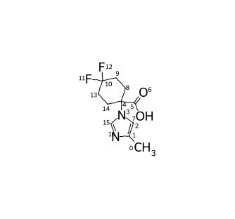 Cc1cn(C2(C(=O)O)CCC(F)(F)CC2)cn1